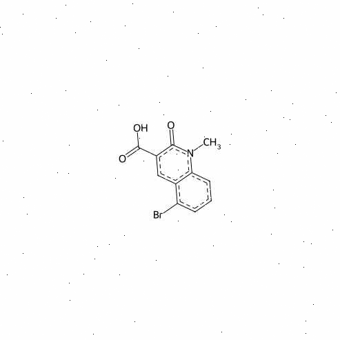 Cn1c(=O)c(C(=O)O)cc2c(Br)cccc21